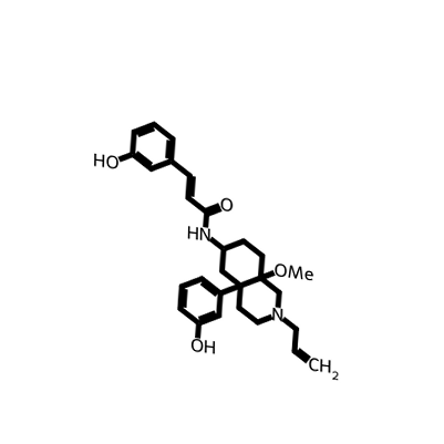 C=CCN1CCC2(c3cccc(O)c3)CC(NC(=O)/C=C/c3cccc(O)c3)CCC2(OC)C1